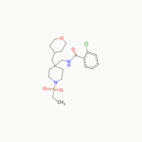 CCS(=O)(=O)N1CCC(CNC(=O)c2ccccc2Cl)(CC2CCOCC2)CC1